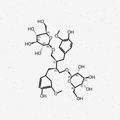 COC1=C(O)C=CC(C[C@H](CO[C@@H]2O[C@H](CO)[C@@H](O)[C@H](O)[C@H]2O)[C@@H](CO[C@@H]2O[C@H](CO)[C@@H](O)[C@H](O)[C@H]2O)Cc2ccc(O)c(OC)c2)C1